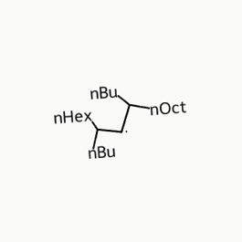 CCCCCCCCC([CH]C(CCCC)CCCCCC)CCCC